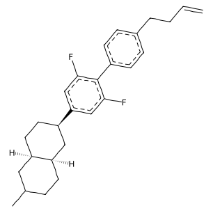 C=CCCc1ccc(-c2c(F)cc([C@@H]3CC[C@@H]4CC(C)CC[C@@H]4C3)cc2F)cc1